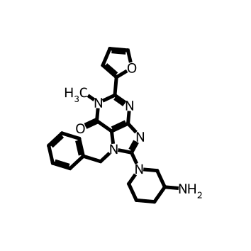 Cn1c(-c2ccco2)nc2nc(N3CCCC(N)C3)n(Cc3ccccc3)c2c1=O